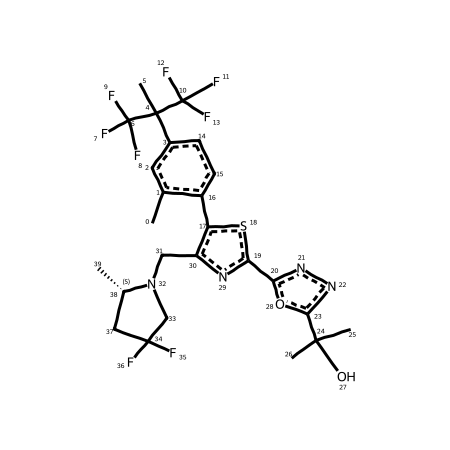 Cc1cc(C(C)(C(F)(F)F)C(F)(F)F)ccc1-c1sc(-c2nnc(C(C)(C)O)o2)nc1CN1CC(F)(F)C[C@@H]1C